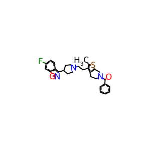 Cc1sc2c(c1CCN1CCC(c3noc4cc(F)ccc34)CC1)CCN(C(=O)c1ccccc1)C2